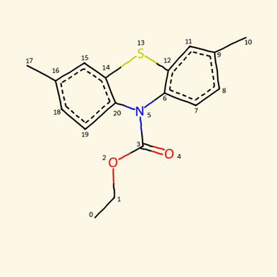 CCOC(=O)N1c2ccc(C)cc2Sc2cc(C)ccc21